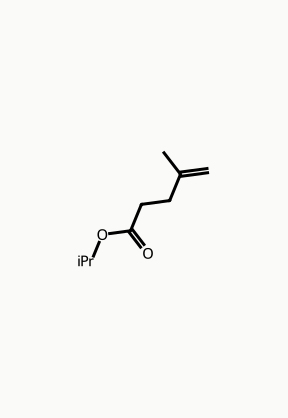 C=C(C)CCC(=O)OC(C)C